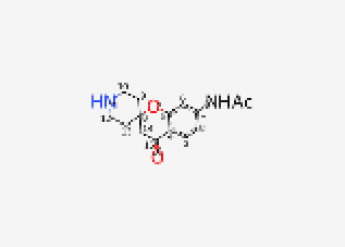 CC(=O)Nc1ccc2c(c1)OC1(CCNCC1)CC2=O